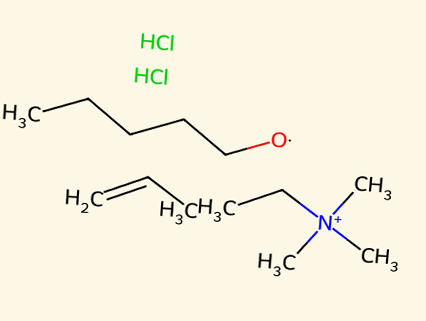 C=CC.CCCCC[O].CC[N+](C)(C)C.Cl.Cl